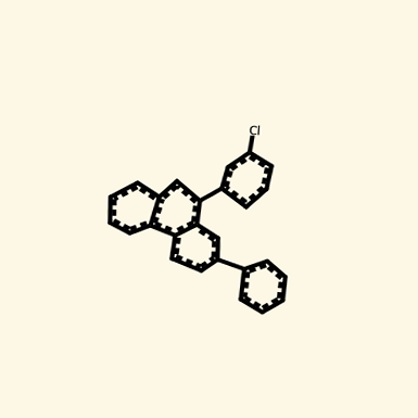 Clc1cccc(-c2cc3ccccc3c3ccc(-c4ccccc4)cc23)c1